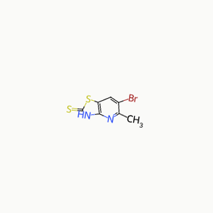 Cc1nc2[nH]c(=S)sc2cc1Br